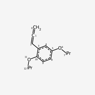 C=C=Cc1cc(OC(C)C)ccc1OC(C)C